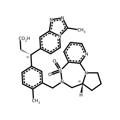 Cc1ccc([C@H](CC(=O)O)c2ccn3c(C)nnc3c2)cc1CN1C[C@H]2CCCN2c2ncccc2S1(=O)=O